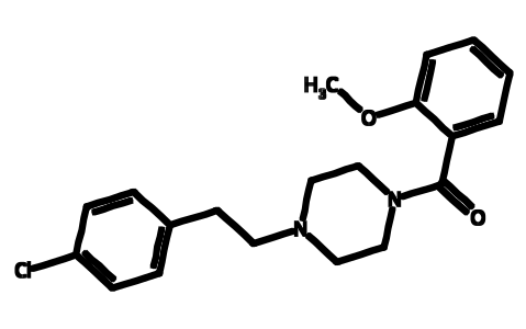 COc1ccccc1C(=O)N1CCN(CCc2ccc(Cl)cc2)CC1